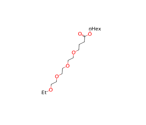 CCCCCCOC(=O)CCCOCCOCCOCCOCC